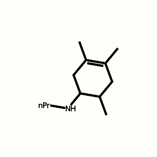 CCCNC1CC(C)=C(C)CC1C